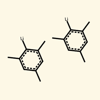 [Li][c]1c(C)cc(C)cc1C.[Li][c]1c(C)cc(C)cc1C